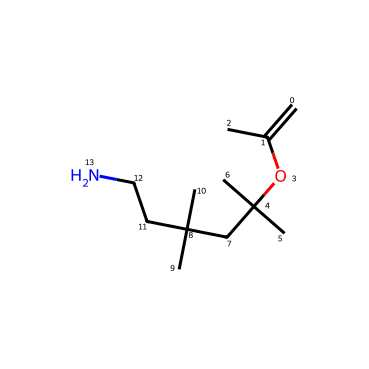 C=C(C)OC(C)(C)CC(C)(C)CCN